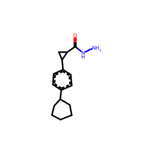 NNC(=O)C1CC1c1ccc(C2CCCCC2)cc1